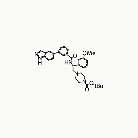 COc1cccc(C(CN2CCN(C(=O)OC(C)(C)C)CC2)NC(=O)c2cccc(-c3ccc4[nH]ncc4c3)c2)c1